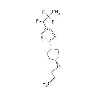 C=CCO[C@H]1CC[C@H](c2ccc(C(F)C(C)(F)F)cc2)CC1